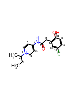 CCC(C)N1C=CC(NC(=O)Cc2cc(Cl)ccc2O)=CC1